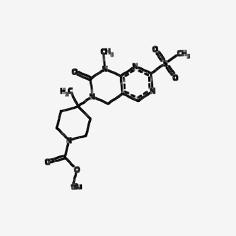 CN1C(=O)N(C2(C)CCN(C(=O)OC(C)(C)C)CC2)Cc2cnc(S(C)(=O)=O)nc21